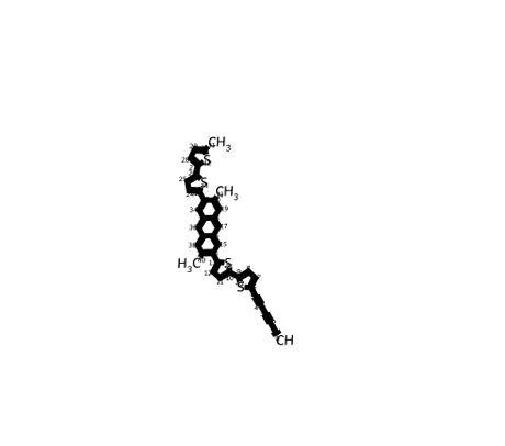 C#CC#CC#Cc1ccc(-c2ccc(-c3cc4cc5cc(C)c(-c6ccc(-c7ccc(C)s7)s6)cc5cc4cc3C)s2)s1